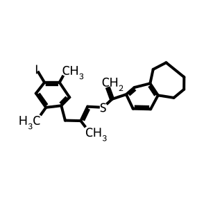 C=C(S/C=C(\C)Cc1cc(C)c(I)cc1C)c1ccc2c(c1)CCCCC2